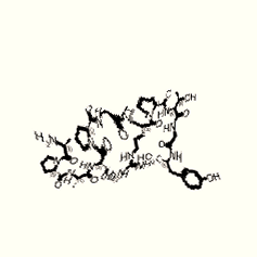 C[C@H](N)C(=O)N1CCC[C@H]1C(=O)N[C@@H](C)C(=O)N[C@@H](CC(=O)O)C(=O)N1CCC[C@H]1C(=O)NCC(=O)N[C@@H](CCCNC(=N)N)C(=O)N1CCC[C@H]1C(=O)N[C@H](C(=O)NCC(=O)N[C@@H](Cc1ccc(O)cc1)C(=O)O)[C@@H](C)O